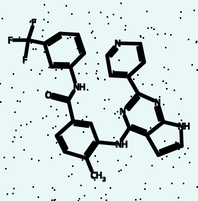 Cc1ccc(C(=O)Nc2cccc(C(F)(F)F)c2)cc1Nc1nc(-c2ccncc2)nc2[nH]ccc12